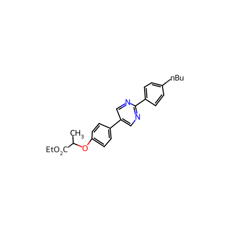 CCCCc1ccc(-c2ncc(-c3ccc(OC(C)C(=O)OCC)cc3)cn2)cc1